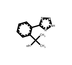 CCCC(C)(C)c1ccccc1-c1nn[nH]n1